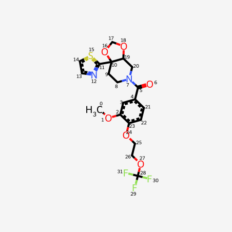 COc1cc(C(=O)N2CCC3(c4nccs4)OCOC3C2)ccc1OCCOC(F)(F)F